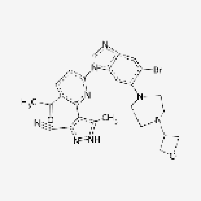 CC(=O)c1ccc(-n2cnc3cc(Br)c(N4CCN(C5COC5)CC4)cc32)nc1-c1c(C#N)n[nH]c1C